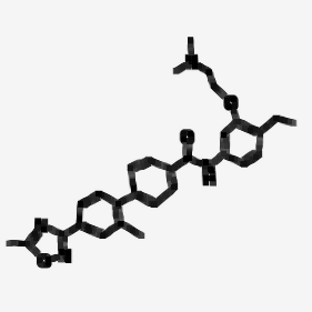 CCc1ccc(NC(=O)c2ccc(-c3ccc(-c4noc(C)n4)cc3C)cc2)cc1OCCN(C)C